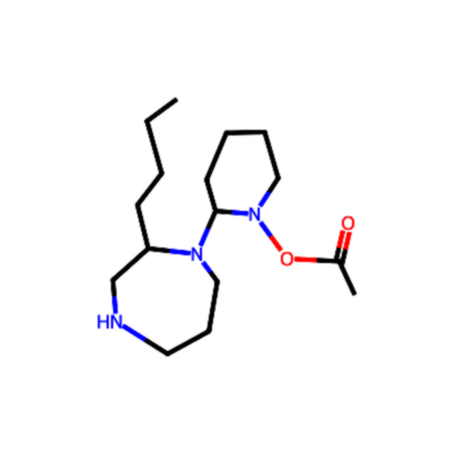 CCCCC1CNCCCN1C1CCCCN1OC(C)=O